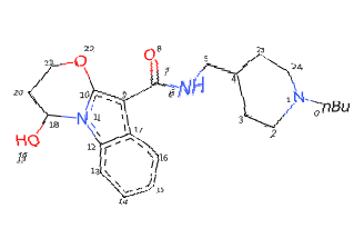 CCCCN1CCC(CNC(=O)c2c3n(c4ccccc24)C(O)CCO3)CC1